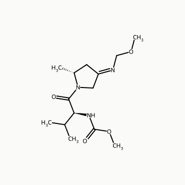 COC/N=C1\C[C@@H](C)N(C(=O)[C@@H](NC(=O)OC)C(C)C)C1